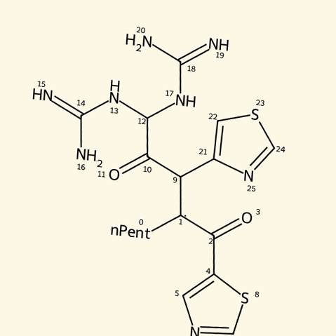 CCCCC[C](C(=O)c1cncs1)C(C(=O)C(NC(=N)N)NC(=N)N)c1cscn1